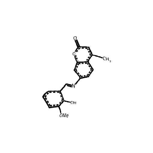 COc1cccc(C=Nc2ccc3c(C)cc(=O)oc3c2)c1O